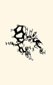 CC(=NO)c1csc(S(=O)(=O)NC(=O)Nc2c3c(cc4c2CCC4)CCC3)c1.CC(=NO)c1csc(S(N)(=O)=O)c1